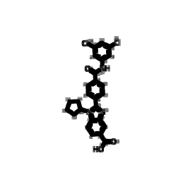 O=C(O)c1ccc2c(c1)nc(-c1ccc(C(=O)Nc3cc(Cl)cc(Cl)c3)cc1)n2C1CCCC1